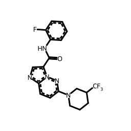 O=C(Nc1ccccc1F)c1cnc2ccc(N3CCCC(C(F)(F)F)C3)nn12